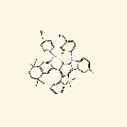 CC(C)(C)c1ccc(N2B3c4cc(C(C)(C)C)ccc4-n4c5ccc(C(C)(C)C)cc5c5c6c(c(c3c54)-c3cc4c(cc32)C(C)(C)CCC4(C)C)-c2ccccc2[Si]6(C)C)cc1